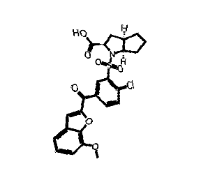 COc1cccc2cc(C(=O)c3ccc(Cl)c(S(=O)(=O)N4[C@@H](C(=O)O)C[C@H]5CCC[C@H]54)c3)oc12